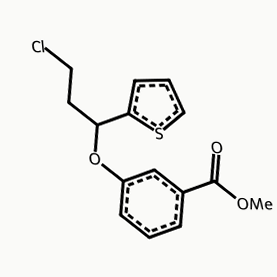 COC(=O)c1cccc(OC(CCCl)c2cccs2)c1